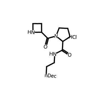 CCCCCCCCCCCCNC(=O)C1CCCN1C(=O)C1CCN1.Cl